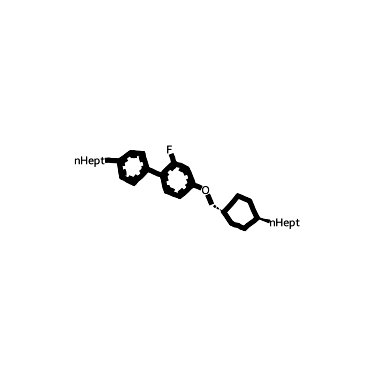 CCCCCCCc1ccc(-c2ccc(OC[C@H]3CC[C@H](CCCCCCC)CC3)cc2F)cc1